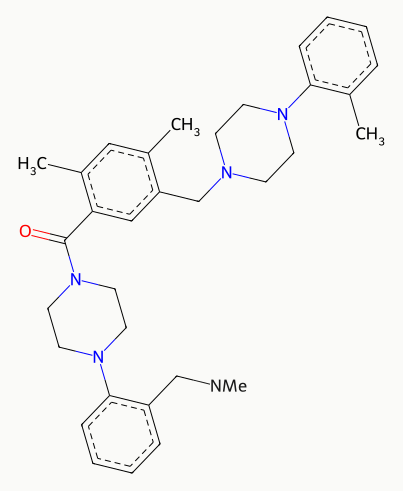 CNCc1ccccc1N1CCN(C(=O)c2cc(CN3CCN(c4ccccc4C)CC3)c(C)cc2C)CC1